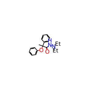 CCN(CC)NC(=O)C(C)(Oc1ccccc1)c1ccccc1